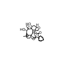 CC(=O)O[C@@]12CO[C@@H]1C[C@H](O)[C@@]1(C)C(=O)[C@H](O)C3=C(C)CC[C@@](O)([C@@H](OC(=O)c4ccccc4)[C@H]21)C3(C)C